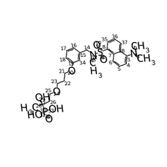 CN(C)c1cccc2c(S(=O)(=O)N(C)Cc3cccc(OCCCOCCC(C)(O)P(=O)(O)O)c3)cccc12